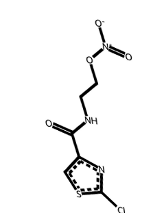 O=C(NCCO[N+](=O)[O-])c1csc(Cl)n1